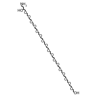 NCCC(O)COCCOCCOCCOCCOCCOCCOCCOCCOCCOCCOCCOCCOCCOCCOCCOCCOCCO